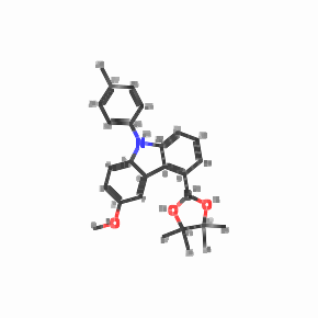 COc1ccc2c(c1)c1c(B3OC(C)(C)C(C)(C)O3)cccc1n2-c1ccc(C)cc1